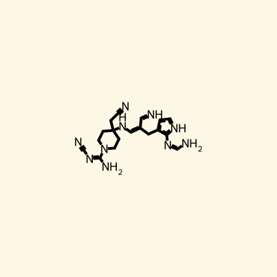 N#CCC1(N/C=C(\C=N)Cc2cc[nH]c2/N=C\N)CCN(/C(N)=N\C#N)CC1